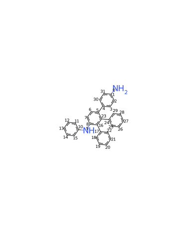 Nc1ccc(-c2ccc(Nc3ccccc3)c(-c3ccccc3)c2-c2ccccc2)cc1